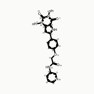 CCCn1c(=O)c2[nH]c(-c3ccc(OCC(=O)Nc4cccnc4)cc3)cc2n(CCC)c1=O